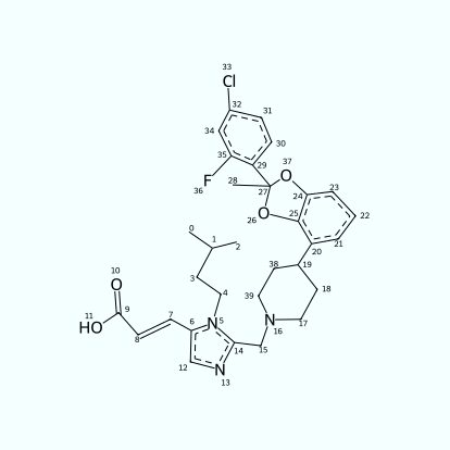 CC(C)CCn1c(/C=C/C(=O)O)cnc1CN1CCC(c2cccc3c2OC(C)(c2ccc(Cl)cc2F)O3)CC1